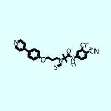 CC(C)(C(=O)Nc1ccc(C#N)c(C(F)(F)F)c1)N(C=S)CCCOc1ccc(-c2ccncc2)cc1